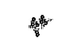 CC(C)c1ccccc1NC(C)c1cccc(C(C)Nc2ccccc2C(C)C)n1.CC(C)c1ccccc1NC(C)c1cccc(C(C)Nc2ccccc2C(C)C)n1.[Co+].[Co+].[O-]c1cc2ccccc2cc1[O-]